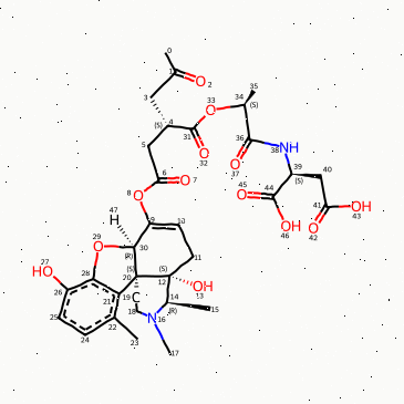 CC(=O)C[C@@H](CC(=O)OC1=CC[C@@]2(O)[C@@H](C)N(C)CC[C@@]23c2c(C)ccc(O)c2O[C@@H]13)C(=O)O[C@@H](C)C(=O)N[C@@H](CC(=O)O)C(=O)O